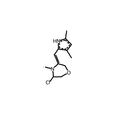 [CH2]N1C(=Cc2[nH]c(C)cc2C)COCC1Cl